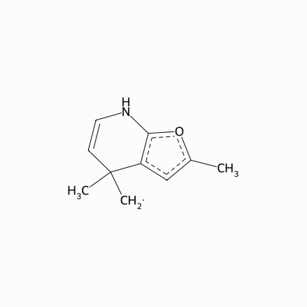 [CH2]C1(C)C=CNc2oc(C)cc21